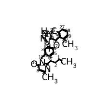 CCCCc1nc(C)cc(=O)n1Cc1ccc(OC(c2nnn[nH]2)c2c(C)cccc2C)cc1